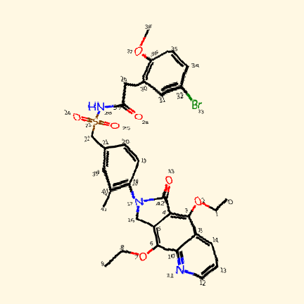 CCOc1c2c(c(OCC)c3ncccc13)CN(c1ccc(CS(=O)(=O)NC(=O)Cc3cc(Br)ccc3OC)cc1C)C2=O